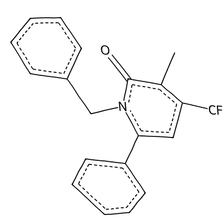 Cc1c(C(F)(F)F)cc(-c2ccccc2)n(Cc2ccccc2)c1=O